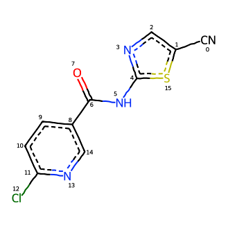 N#Cc1cnc(NC(=O)c2ccc(Cl)nc2)s1